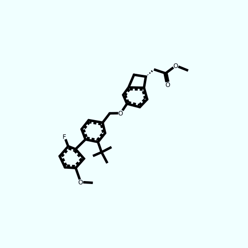 COC(=O)C[C@H]1Cc2cc(OCc3ccc(-c4cc(OC)ccc4F)c(C(C)(C)C)c3)ccc21